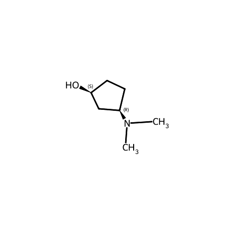 CN(C)[C@@H]1CC[C@H](O)C1